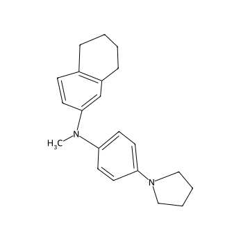 CN(c1ccc(N2CCCC2)cc1)c1ccc2c(c1)CCCC2